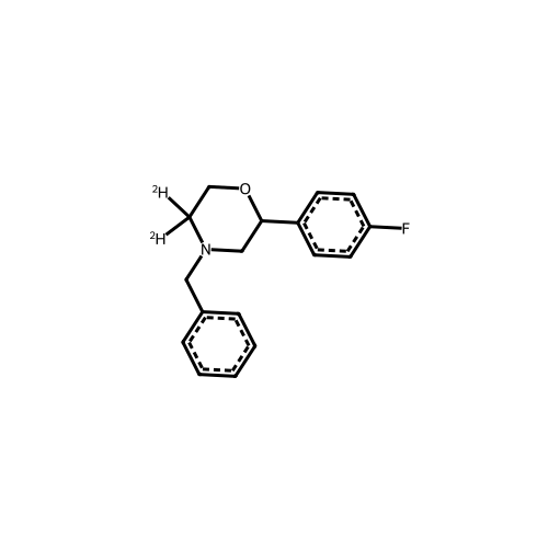 [2H]C1([2H])COC(c2ccc(F)cc2)CN1Cc1ccccc1